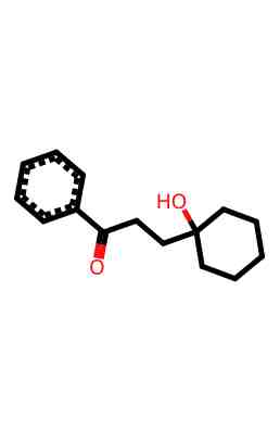 O=C(CCC1(O)CCCCC1)c1ccccc1